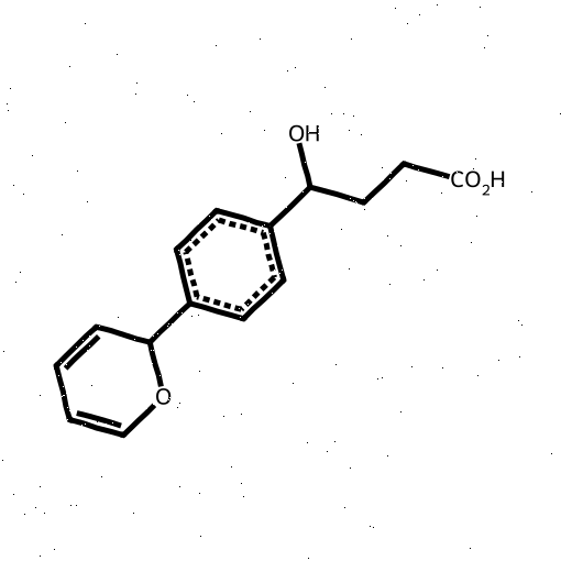 O=C(O)CCC(O)c1ccc(C2C=CC=CO2)cc1